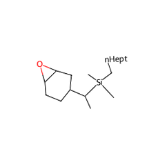 CCCCCCCC[Si](C)(C)C(C)C1CCC2OC2C1